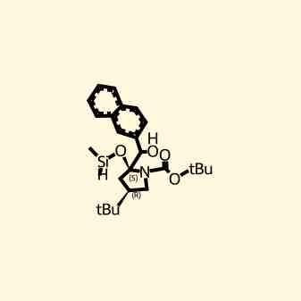 C[SiH](C)O[C@]1(C(O)c2ccc3ccccc3c2)C[C@H](C(C)(C)C)CN1C(=O)OC(C)(C)C